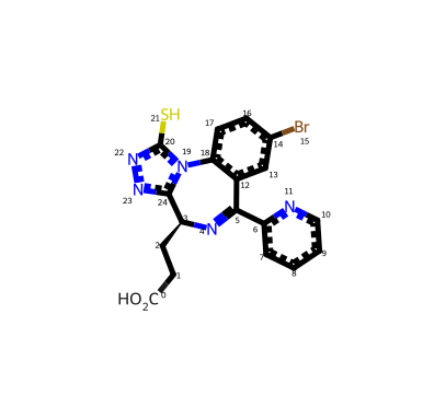 O=C(O)CC[C@@H]1N=C(c2ccccn2)c2cc(Br)ccc2-n2c(S)nnc21